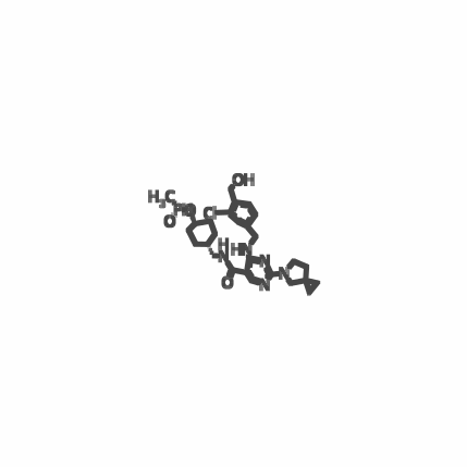 C[PH](=O)O[C@H]1CC[C@H](CNC(=O)c2cnc(N3CCC4(CC4)C3)nc2NCc2ccc(CO)c(Cl)c2)CC1